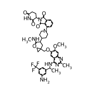 CNC(=O)C(CC1(COc2cc3c(NC(C)c4cc(N)cc(C(F)(F)F)c4)nc(C)nc3cc2OC)CC1)C1CCN(c2cccc3c2C(=O)N(C2CCC(=O)NC2=O)C3=O)CC1